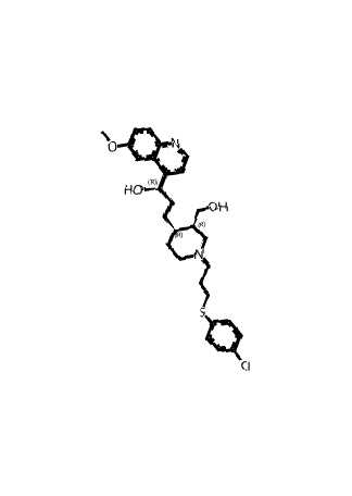 COc1ccc2nccc([C@H](O)CC[C@@H]3CCN(CCCSc4ccc(Cl)cc4)C[C@@H]3CO)c2c1